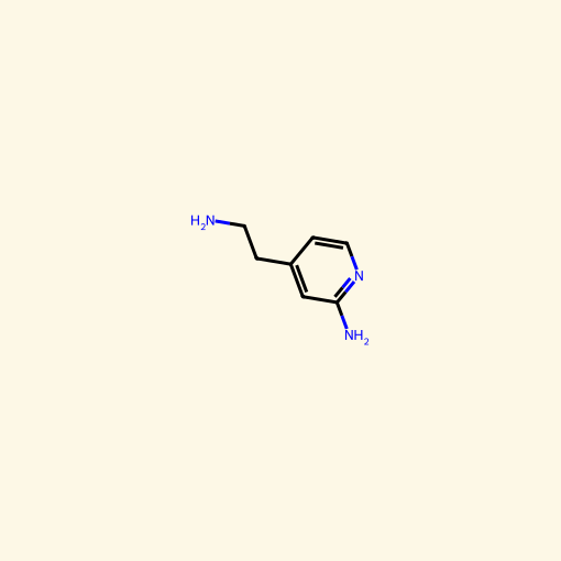 NCCc1ccnc(N)c1